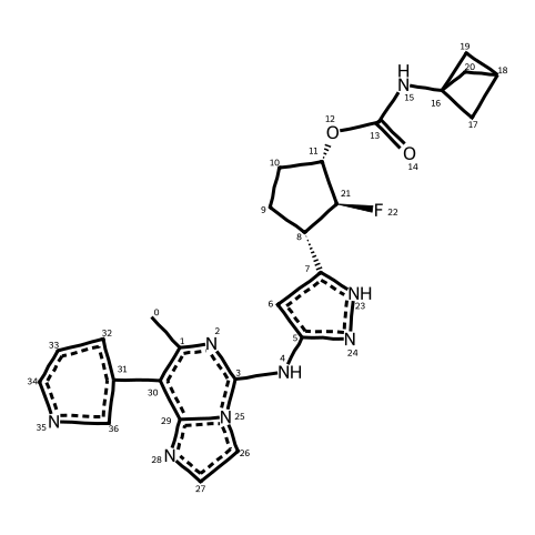 Cc1nc(Nc2cc([C@@H]3CC[C@H](OC(=O)NC45CC(C4)C5)[C@H]3F)[nH]n2)n2ccnc2c1-c1cccnc1